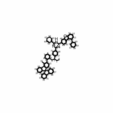 CCC(Cc1ccccc1-c1ccc2c(c1C)-c1ccccc1C21c2ccccc2-c2ccccc21)c1ccc(C2=NC(c3ccc4c(c3)oc3cccc(-c5ccccc5)c34)NC(C3=CCCC=C3)=N2)cc1